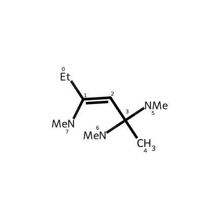 CCC(=CC(C)(NC)NC)NC